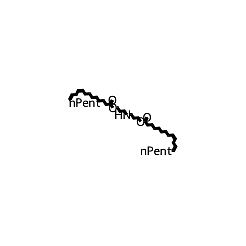 CCCCC/C=C\C/C=C\CCCCCCCC(=O)OCCCNCCCOC(=O)CCCCCCC/C=C\C/C=C\CCCCC